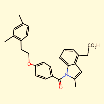 Cc1ccc(CCOc2ccc(C(=O)n3c(C)cc4c(CC(=O)O)cccc43)cc2)c(C)c1